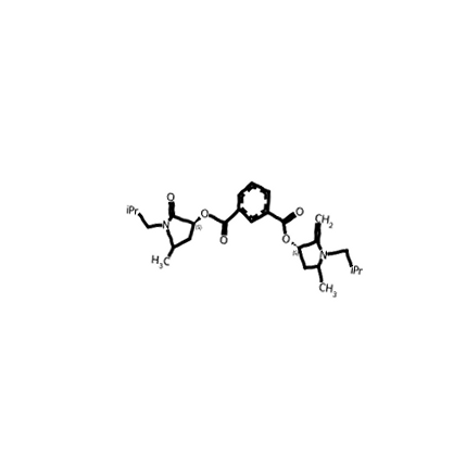 C=C1[C@@H](OC(=O)c2cccc(C(=O)O[C@H]3CC(C)N(CC(C)C)C3=O)c2)CC(C)N1CC(C)C